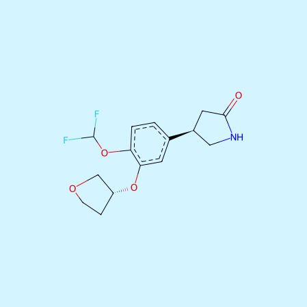 O=C1C[C@H](c2ccc(OC(F)F)c(O[C@@H]3CCOC3)c2)CN1